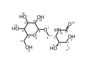 C[C@@H](O)[C@@H](O)[C@H](COC1OC(CO)C(O)C(O)C1O)NC=O